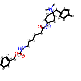 Cc1ccc(CC2(N(C)C)CCC(NC(=O)CCCCCNC(=O)OCc3ccccc3)CC2)cc1